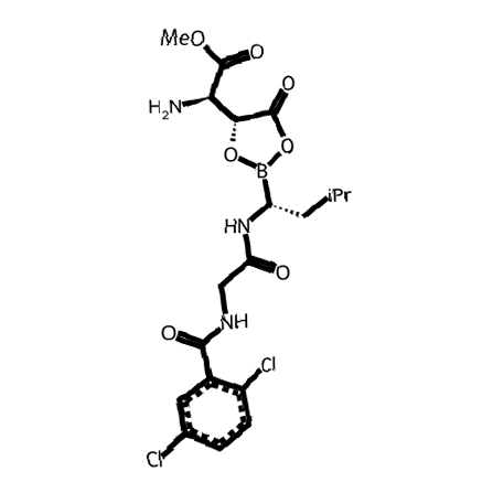 COC(=O)[C@H](N)[C@H]1OB([C@H](CC(C)C)NC(=O)CNC(=O)c2cc(Cl)ccc2Cl)OC1=O